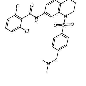 CN(C)Cc1ccc(S(=O)(=O)N2CCCc3ccc(NC(=O)c4c(F)cccc4Cl)cc32)cc1